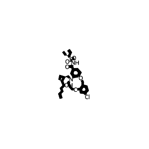 C=CCC[C@H](O)[C@@H]1CC[C@H]1CN1CCCCc2cc(Cl)ccc2COc2ccc(C(=O)NS(=O)(=O)[C@@H](C=C)CC)cc21